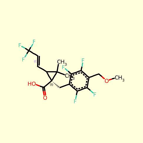 COCc1c(F)c(F)c(C[C@]2(C(=O)O)C(/C=C/C(F)(F)F)C2(C)C)c(F)c1F